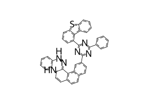 N=C1C=Cc2ccc3ccc(-c4nc(-c5ccccc5)nc(-c5cccc6sc7ccccc7c56)n4)cc3c2/C1=N/Nc1ccccc1